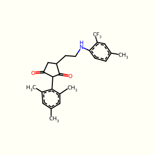 Cc1cc(C)c(C2C(=O)CC(CCNc3ccc(C)cc3C(F)(F)F)C2=O)c(C)c1